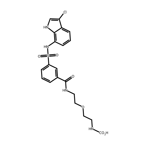 O=C(O)NCCOCCNC(=O)c1cccc(S(=O)(=O)Nc2cccc3c(Cl)c[nH]c23)c1